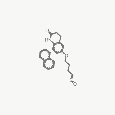 O=S=CCCCOc1ccc2c(c1)CCC(=O)N2.c1ccc2ccccc2c1